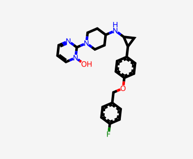 ON1C=CC=NC1N1CCC(NC2CC2c2ccc(OCc3ccc(F)cc3)cc2)CC1